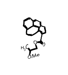 COC(C)COC(=O)c1ccc2ccc3cccc4ccc1c2c34